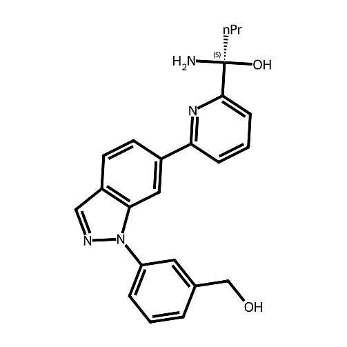 CCC[C@](N)(O)c1cccc(-c2ccc3cnn(-c4cccc(CO)c4)c3c2)n1